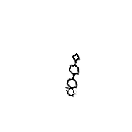 C1CC(C2CCC(C3CCC4(CC3)OCCO4)CC2)C1